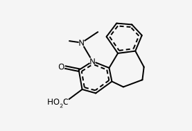 CN(C)n1c2c(cc(C(=O)O)c1=O)CCCc1ccccc1-2